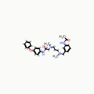 CC(=O)Nc1cccc(CN(C)CCCN(C)CC(=O)Nc2ccc(Oc3ccccc3)cc2)c1